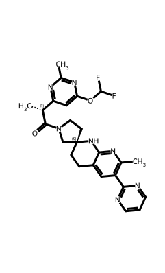 Cc1nc(OC(F)F)cc([C@@H](C)C(=O)N2CC[C@@]3(CCc4cc(-c5ncccn5)c(C)nc4N3)C2)n1